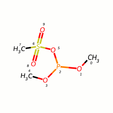 COP(OC)OS(C)(=O)=O